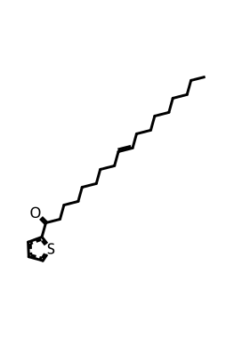 CCCCCCCCC=CCCCCCCCC(=O)c1cccs1